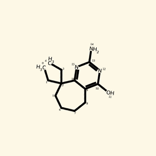 CCC1(CC)CCCCc2c(O)nc(N)nc21